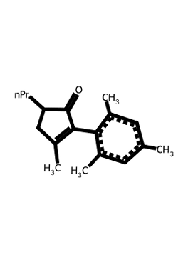 CCCC1CC(C)=C(c2c(C)cc(C)cc2C)C1=O